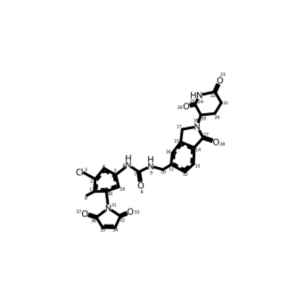 Cc1c(Cl)cc(NC(=O)NCc2ccc3c(c2)CN(C2CCC(=O)NC2=O)C3=O)cc1N1C(=O)C=CC1=O